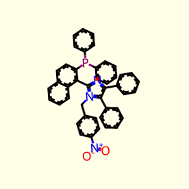 O=[N+]([O-])c1ccc(Cn2c(-c3c(P(c4ccccc4)c4ccccc4)ccc4ccccc34)nc(-c3ccccc3)c2-c2ccccc2)cc1